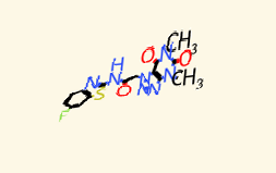 Cn1c(=O)c2c(nnn2CC(=O)Nc2nc3ccc(F)cc3s2)n(C)c1=O